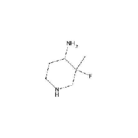 CC1(F)CNCCC1N